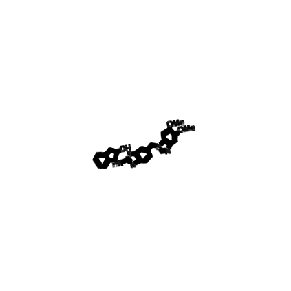 COc1cc2ncn(Cc3ccc4nc(NC5c6ccccc6CC5O)sc4c3)c2cc1OC